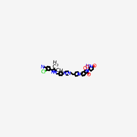 Cc1c(-c2ccc(C#N)c(Cl)c2)nn(Cc2ccc(N3CCN(CCC4CCN(c5ccc6c(c5)C(=O)N(C5CCC(=O)NC5=O)C6=O)CC4)CC3)cc2)c1C